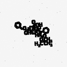 CC(C)(C)OC(=O)N[C@H](C(=O)N1CC[C@@H]2[C@H]1C(C(=O)O)CN2C(=O)OCc1ccccc1)C1CCCCC1